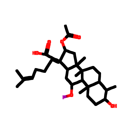 CC(=O)OC1CC2(C)C(CC(OI)C3C4(C)CCC(O)C(C)C4CCC32C)/C1=C(\CCC=C(C)C)C(=O)O